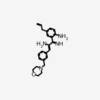 C=CCc1ccc(N)c(C(=N)/C(N)=C/c2cccc(CN3CCOCC3)c2)c1